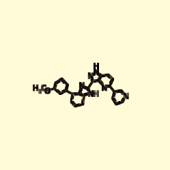 COc1cccc(-c2cccc3[nH]c(-c4n[nH]c5ccc(-c6cccnc6)nc45)nc23)c1